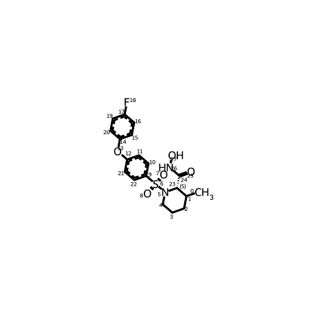 CC1CCCN(S(=O)(=O)c2ccc(Oc3ccc(F)cc3)cc2)[C@@H]1C(=O)NO